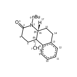 CCCCN1C(=O)CC[C@]2(C)c3ccccc3CC[C@@H]12